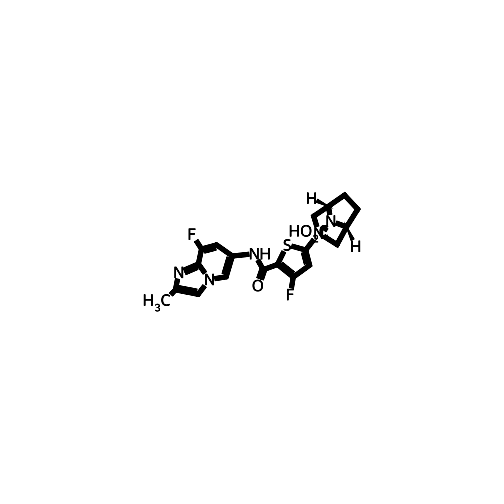 Cc1cn2cc(NC(=O)c3sc(N4C[C@H]5CC[C@@H](C4)N5C(=O)O)cc3F)cc(F)c2n1